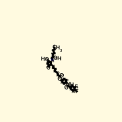 CCCCC[C@H](O)/C=C/[C@H]1[C@H](O)CC(=O)[C@@H]1CCCCCCC(=O)Oc1ccc(NC(=O)c2ccc(F)c(F)c2)cc1